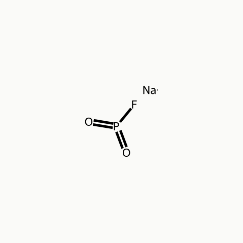 O=P(=O)F.[Na]